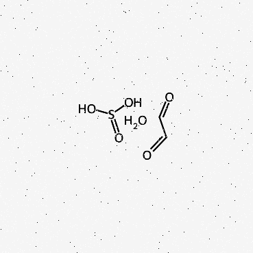 O.O=CC=O.O=S(O)O